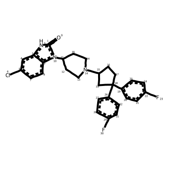 O=c1[nH]c2cc(Cl)ccc2n1C1CCN(C2CCC(c3ccc(F)cc3)(c3ccc(F)cc3)C2)CC1